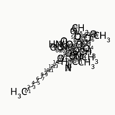 CCCCCCCCCCCCCCCCOCCOC1C(OP(OCCC#N)N(C(C)C)C(C)C)[C@@H](COC(c2ccccc2)(c2ccc(OC)cc2)c2ccc(OC)cc2)O[C@H]1n1ccc(=O)[nH]c1=O